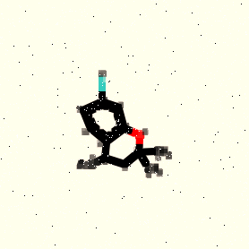 CC(=O)OC1CC(C)(C)Oc2cc(F)ccc21